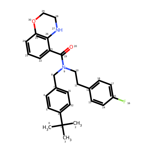 CC(C)(C)c1ccc(CN(CCc2ccc(F)cc2)C(=O)c2cccc3c2NCCO3)cc1